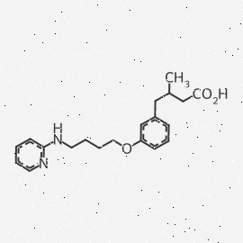 CC(CC(=O)O)Cc1cccc(OCCCCNc2ccccn2)c1